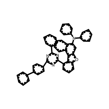 c1ccc(-c2ccc(-c3nc(-c4ccccc4)nc(-c4cccc5oc6cc(N(c7ccccc7)c7ccccc7)c7ccccc7c6c45)n3)cc2)cc1